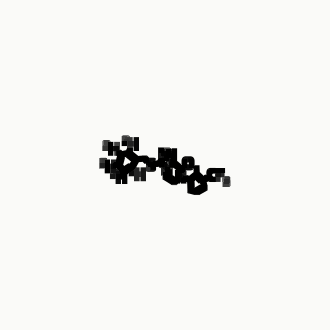 [2H]c1c([2H])c([2H])c(CSc2nnc3c(=O)n(-c4cccc(C(F)(F)F)c4C)ccn23)c([2H])c1[2H]